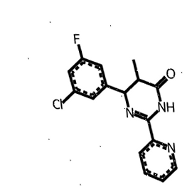 CC1C(=O)NC(c2ccccn2)=NC1c1cc(F)cc(Cl)c1